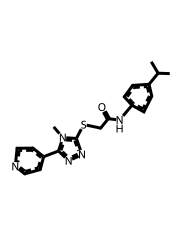 CC(C)c1ccc(NC(=O)CSc2nnc(-c3ccncc3)n2C)cc1